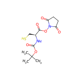 CC(C)(C)OC(=O)N[C@@H](CS)C(=O)ON1C(=O)CCC1=O